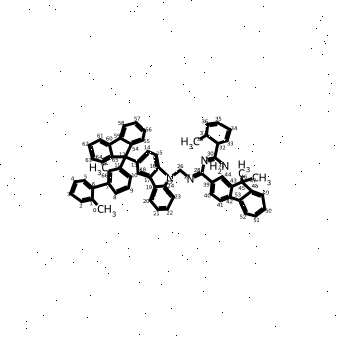 Cc1ccccc1-c1cccc(C2(c3ccc4c(c3)c3ccccc3n4C/N=C(\N=C(/N)C3C=CC=CC3C)c3ccc4c(c3)C(C)(C)c3ccccc3-4)c3ccccc3-c3ccccc32)c1C